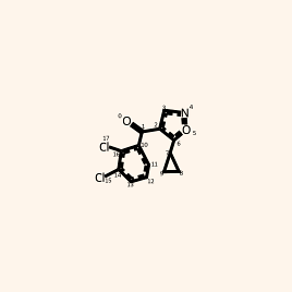 O=C(c1cnoc1C1CC1)c1cccc(Cl)c1Cl